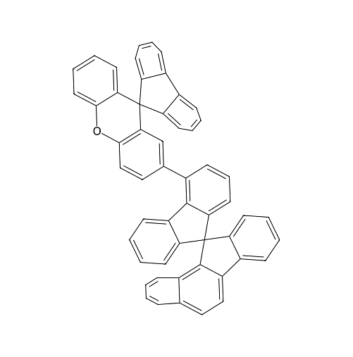 c1ccc2c(c1)Oc1ccc(-c3cccc4c3-c3ccccc3C43c4ccccc4-c4ccc5ccccc5c43)cc1C21c2ccccc2-c2ccccc21